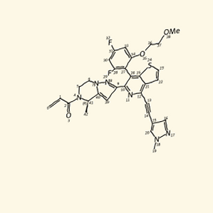 C=CC(=O)N1CCn2nc(-c3nc(C#Cc4cnn(C)c4)c4ccsc4c3-c3c(F)cc(F)cc3OCCOC)cc2[C@H]1C